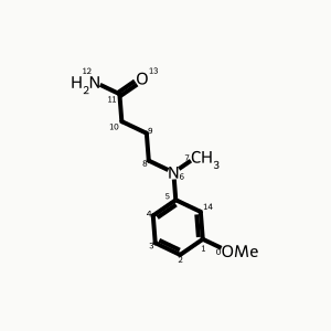 COc1cccc(N(C)CCCC(N)=O)c1